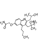 CCCCc1c(CC(C)(C)C)c(CC(C)C)nc2ccc(OCC(N)=O)cc12